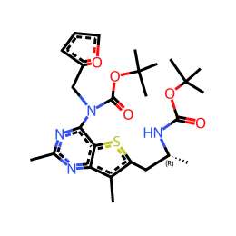 Cc1nc(N(Cc2ccco2)C(=O)OC(C)(C)C)c2sc(C[C@@H](C)NC(=O)OC(C)(C)C)c(C)c2n1